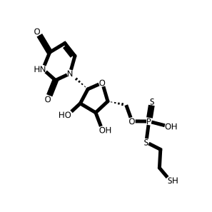 O=c1ccn([C@@H]2O[C@H](COP(O)(=S)SCCS)C(O)C2O)c(=O)[nH]1